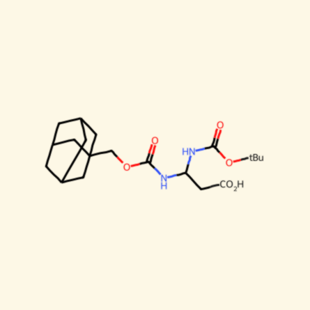 CC(C)(C)OC(=O)NC(CC(=O)O)NC(=O)OCC12CC3CC(CC(C3)C1)C2